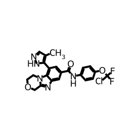 Cc1cn[nH]c1-c1cc(C(=O)Nc2ccc(OC(F)(F)Cl)cc2)cc2nc3n(c12)CCOC3